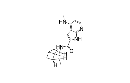 CNc1ccnc2[nH]c(C(=O)N[C@H]3CC4C[C@@H]([C@@H]3C)C4(C)C)cc12